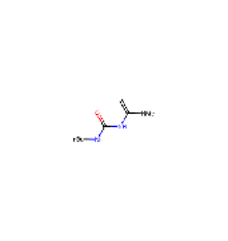 C=C(NC)NC(=O)NCCCC